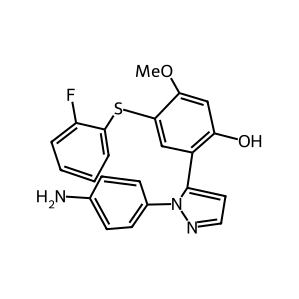 COc1cc(O)c(-c2ccnn2-c2ccc(N)cc2)cc1Sc1ccccc1F